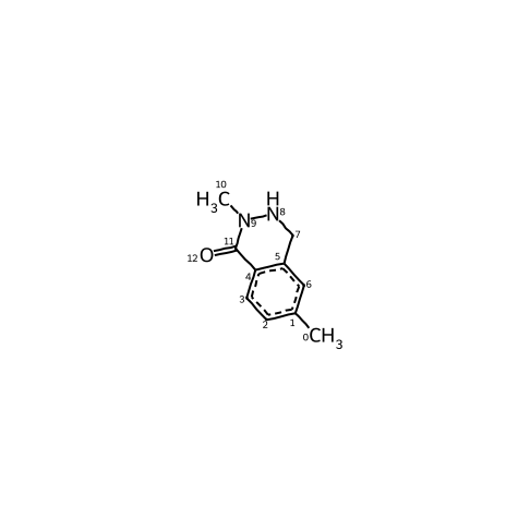 Cc1ccc2c(c1)CNN(C)C2=O